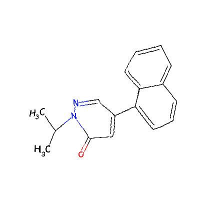 CC(C)n1ncc(-c2cccc3ccccc23)cc1=O